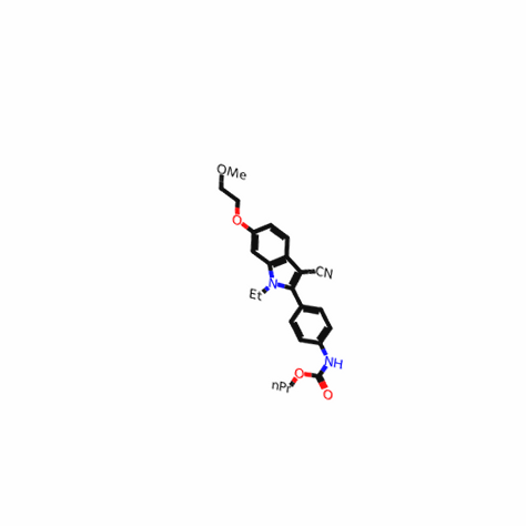 CCCOC(=O)Nc1ccc(-c2c(C#N)c3ccc(OCCOC)cc3n2CC)cc1